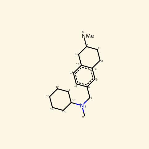 CNC1CCc2cc(CN(C)C3CCCCC3)ccc2C1